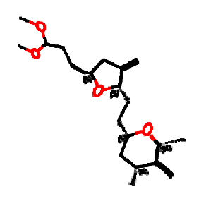 C=C1C[C@H](CCC(OC)OC)O[C@H]1CC[C@H]1C[C@@H](C)C(=C)[C@@H](C)O1